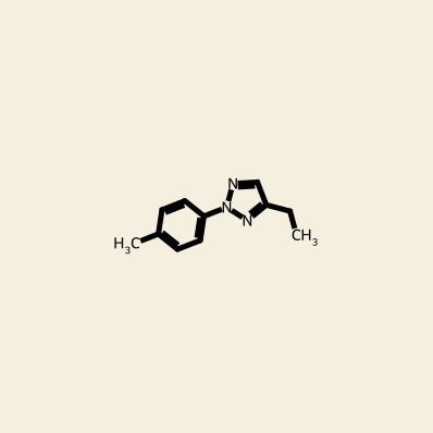 CCc1cnn(-c2ccc(C)cc2)n1